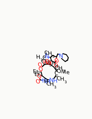 CC[C@H]1OC(=O)C(C)C(=O)[C@H](C)[C@@H](OC2OC(CN3CCCCCC3)CC(N(C)C)C2O)[C@](C)(OC)C[C@@H](C)CN[C@H](C)[C@H]2NC(=O)O[C@@]21CC